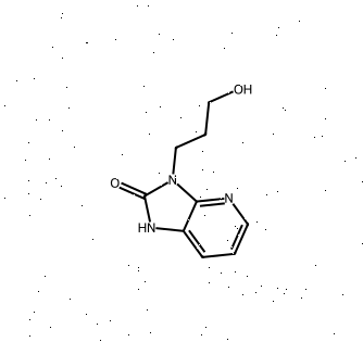 O=c1[nH]c2cccnc2n1CCCO